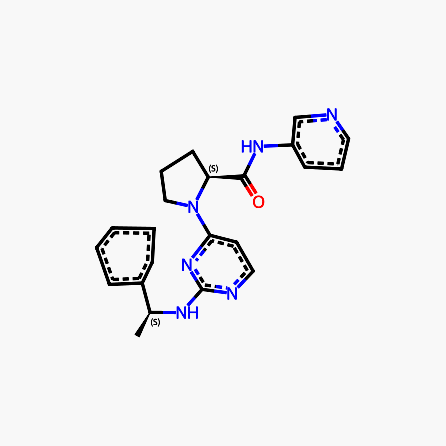 C[C@H](Nc1nccc(N2CCC[C@H]2C(=O)Nc2cccnc2)n1)c1ccccc1